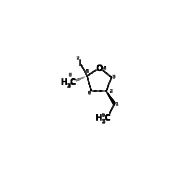 CC[C@@H]1CO[C@](C)(I)C1